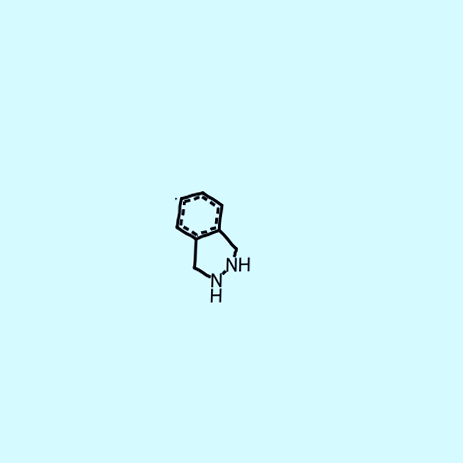 [c]1ccc2c(c1)CNNC2